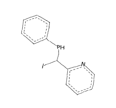 IC(Pc1ccccc1)c1ccccn1